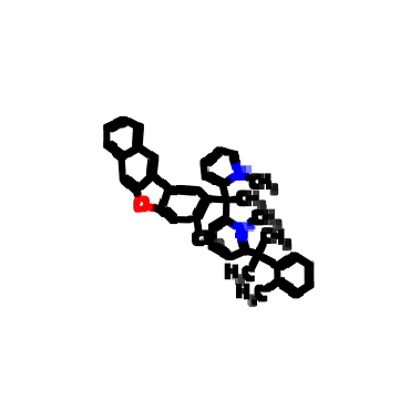 Cc1ccccc1C(C)(C)c1cccc(C(C)(c2cc3c(cc2C)oc2cc4ccccc4cc23)c2cccc[n+]2C)[n+]1C